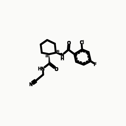 N#CCNC(=O)[C@@H]1CCCC[C@H]1NC(=O)c1ccc(F)cc1Cl